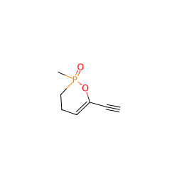 C#CC1=CCCP(C)(=O)O1